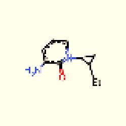 CCC1CC1n1cccc(N)c1=O